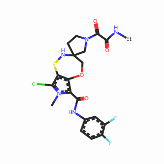 CCNC(=O)C(=O)N1CCC2(COc3c(c(Cl)n(C)c3C(=O)Nc3ccc(F)c(F)c3)SN2)C1